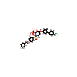 O=C(O)[C@@H]1C[C@H](Oc2ccc(-c3ccc(Cl)cc3)cc2)CCN1S(=O)(=O)c1ccc(OCC2CCCCC2)cc1